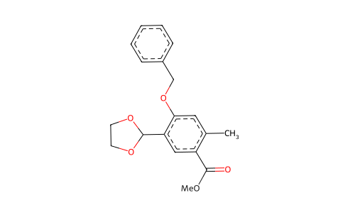 COC(=O)c1cc(C2OCCO2)c(OCc2ccccc2)cc1C